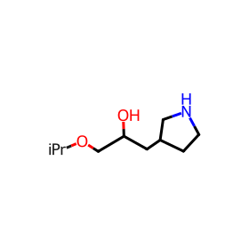 CC(C)OCC(O)CC1CCNC1